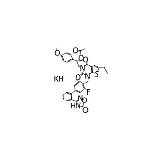 CCc1cc2c(=O)n(CC(OC(C)=O)c3ccc(OC)cc3)c(=O)n(Cc3ccc(-c4ccccc4-c4noc(=O)[nH]4)cc3F)c2s1.[KH]